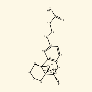 CCCC(=O)OCOc1ccc2c(c1)[C@@]13CCCC[C@H]1[C@@H](C2)NCC3